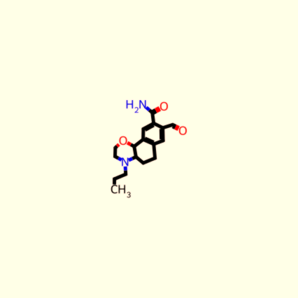 CCCN1CCOC2c3cc(C(N)=O)c(C=O)cc3CCC21